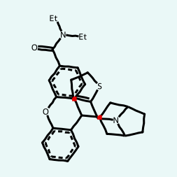 CCN(CC)C(=O)c1ccc2c(c1)Oc1ccccc1C2C1CC2CCC(C1)N2CC1=CCCS1